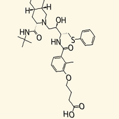 Cc1c(OCCCC(=O)O)cccc1C(=O)N[C@@H](CSc1ccccc1)[C@H](O)CN1C[C@H]2CCCC[C@H]2C[C@H]1C(=O)NC(C)(C)C